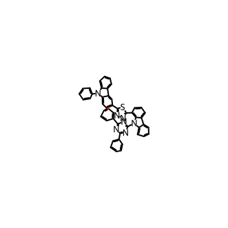 c1ccc(-c2nc(-c3ccccc3)nc(-n3c4ccccc4c4cccc(-c5nnc(-c6ccc7c(c6)c6ccccc6n7-c6ccccc6)s5)c43)n2)cc1